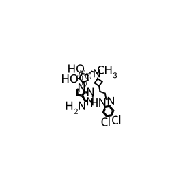 CN(C[C@H]1C[C@@H](n2ccc3c(N)ncnc32)[C@H](O)[C@@H]1O)C1CC(CCc2nc3cc(Cl)c(Cl)cc3[nH]2)C1